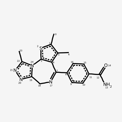 Cc1sc2c(c1C)C(c1ccc(C(N)=O)cc1)=NCc1nnc(C)n1-2